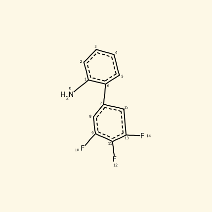 Nc1ccccc1-c1cc(F)c(F)c(F)c1